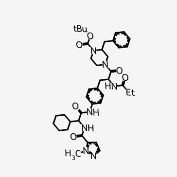 CCC(=O)NC(Cc1ccc(NC(=O)C(NC(=O)c2ccnn2C)C2CCCCC2)cc1)C(=O)N1CCN(C(=O)OC(C)(C)C)C(Cc2ccccc2)C1